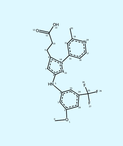 COc1cc(Nc2cc(CCC(=O)O)n(-c3ccnc(C)c3)n2)cc(C(F)(F)F)c1